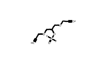 C#CCOCC(COCC#C)OP(=O)(F)F